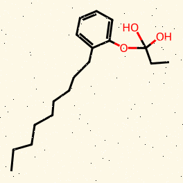 CCCCCCCCCc1ccccc1OC(O)(O)CC